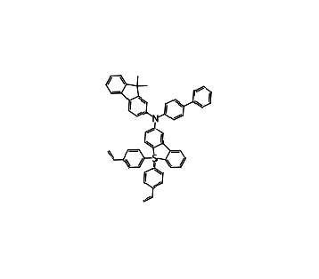 C=Cc1ccc(S2(c3ccc(C=C)cc3)c3ccccc3-c3cc(N(c4ccc(-c5ccccc5)cc4)c4ccc5c(c4)C(C)(C)c4ccccc4-5)ccc32)cc1